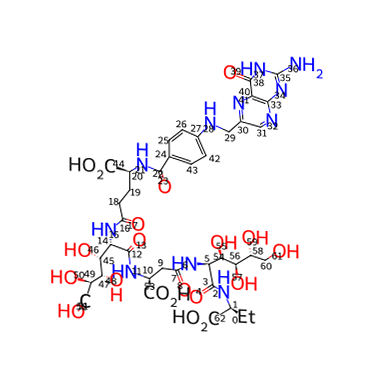 CC[C@H](NC(=O)[C@@H](NC(=O)C[C@H](NC(=O)[C@@H](NC(=O)CC[C@H](NC(=O)c1ccc(NCc2cnc3nc(N)[nH]c(=O)c3n2)cc1)C(=O)O)[C@@H](O)[C@H](O)[C@H](O)CO)C(=O)O)[C@@H](O)[C@H](O)[C@H](O)CO)C(=O)O